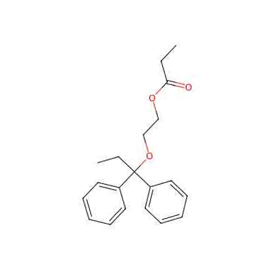 CCC(=O)OCCOC(CC)(c1ccccc1)c1ccccc1